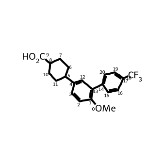 COc1ccc(C2CCC(C(=O)O)CC2)cc1-c1ccc(C(F)(F)F)cc1